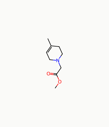 COC(=O)CN1CC=C(C)CC1